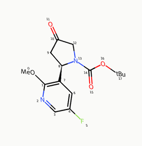 COc1ncc(F)cc1[C@H]1CC(=O)CN1C(=O)OC(C)(C)C